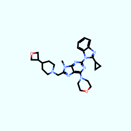 Cn1c(CN2CCC(C3COC3)CC2)nc2c(N3CCOCC3)nc(-n3c(C4CC4)nc4ccccc43)nc21